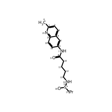 Cc1ccc2cc(NC(=O)CCCCN[S+]([O-])C(C)C)ccc2n1